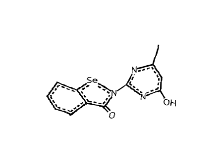 Cc1cc(O)nc(-n2[se]c3ccccc3c2=O)n1